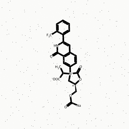 CC(C(=O)[O-])[N+]1(c2ccc3cc(-c4ccccc4C(F)(F)F)[nH]c(=O)c3c2)C[C@H](CO[C](=O)[Na])OC1=O